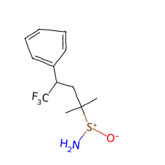 CC(C)(CC(c1ccccc1)C(F)(F)F)[S+](N)[O-]